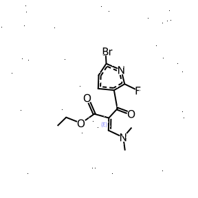 CCOC(=O)/C(=C/N(C)C)C(=O)c1ccc(Br)nc1F